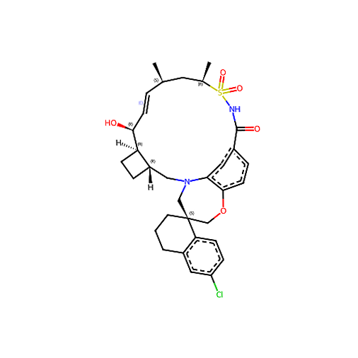 C[C@@H]1/C=C/[C@H](O)[C@@H]2CC[C@H]2CN2C[C@@]3(CCCc4cc(Cl)ccc43)COc3ccc(cc32)C(=O)NS(=O)(=O)[C@H](C)C1